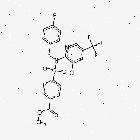 COC(=O)c1ccc(S(=O)(=O)N(Cc2ccc(F)cc2)c2ncc(C(F)(F)F)cc2Cl)cc1